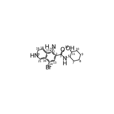 Nc1c(C(=O)N[C@H]2CCCC[C@@H]2O)cc(Br)c2c1=CCNC=2